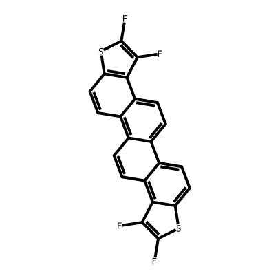 Fc1sc2ccc3c4ccc5c(ccc6sc(F)c(F)c65)c4ccc3c2c1F